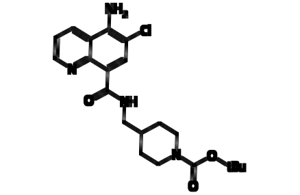 CC(C)(C)OC(=O)N1CCC(CNC(=O)c2cc(Cl)c(N)c3cccnc23)CC1